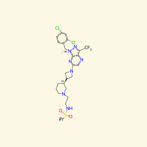 CC(C)S(=O)(=O)NCCN1CCC[C@@H](C2CN(c3cnc4c(C(F)(F)F)nn([C@H](C)c5ccc(Cl)cc5Cl)c4n3)C2)C1